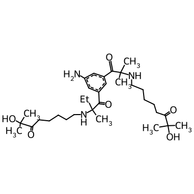 CCC(C)(NCCCCCC(=O)C(C)(C)O)C(=O)c1cc(N)cc(C(=O)C(C)(C)NCCCCCC(=O)C(C)(C)O)c1